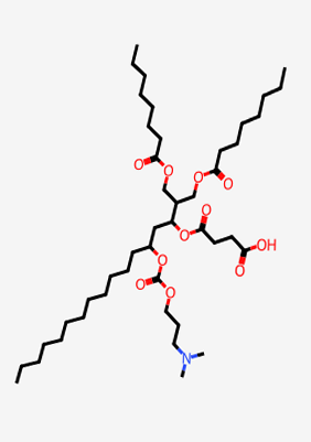 CCCCCCCCCCCCC(CC(OC(=O)CCC(=O)O)C(COC(=O)CCCCCCC)COC(=O)CCCCCCC)OC(=O)OCCCN(C)C